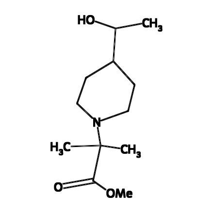 COC(=O)C(C)(C)N1CCC(C(C)O)CC1